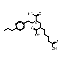 CCCc1ccc(CC[C@H](CC(CCCCC(=O)O)C(=O)O)C(=O)O)cc1